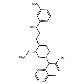 COC(=O)C(c1ccccc1F)N1CC[C@H](SCC(=O)c2cccc(OC)c2)/C(=C/C(=O)O)C1